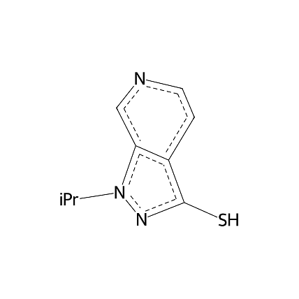 CC(C)n1nc(S)c2ccncc21